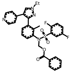 CCn1cc(-c2ccncc2)c(-c2cccc(N(COC(=O)c3ccccc3)S(=O)(=O)c3cc(F)ccc3F)c2C)n1